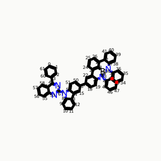 c1ccc(-c2nc(-n3c4ccccc4c4cc(-c5ccc6c(c5)-c5cccc7c5B(N(c5ccccc5)c5ccccc5-7)N6c5ccccc5)ccc43)nc3ccccc23)cc1